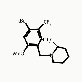 COc1cc(C(C)(C)C)c(C(F)(F)F)cc1CN1CCCC[C@H]1C(=O)O